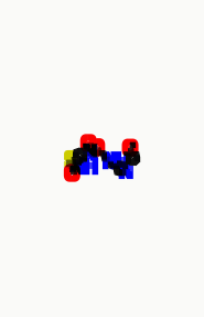 COc1cccc(-c2cc(CNCCC3CN(c4ccc5c(c4)NC(=O)CS5)C(=O)O3)ccn2)c1